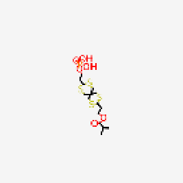 C=C(C)C(=O)OCCC1SCC2(CS1)CSC(CCOP(=O)(O)O)SC2